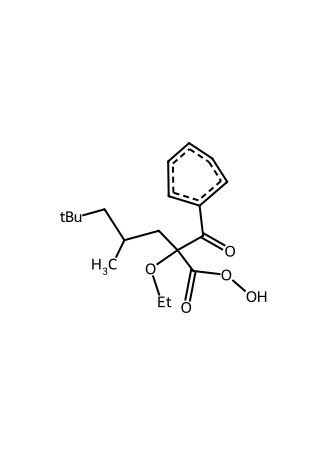 CCOC(CC(C)CC(C)(C)C)(C(=O)OO)C(=O)c1ccccc1